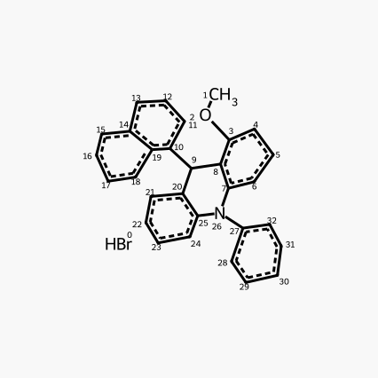 Br.COc1cccc2c1C(c1cccc3ccccc13)c1ccccc1N2c1ccccc1